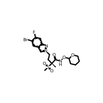 C[C@@](CCn1cc2cc(Br)c(F)cc2n1)(C(=O)NOC1CCCCO1)S(C)(=O)=O